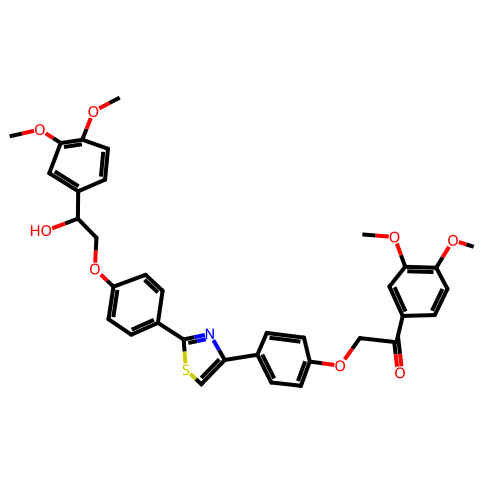 COc1ccc(C(=O)COc2ccc(-c3csc(-c4ccc(OCC(O)c5ccc(OC)c(OC)c5)cc4)n3)cc2)cc1OC